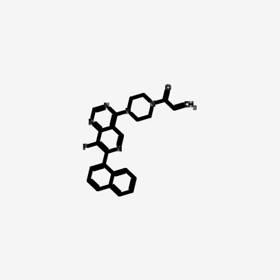 C=CC(=O)N1CCN(c2ncnc3c(F)c(-c4cccc5ccccc45)ncc23)CC1